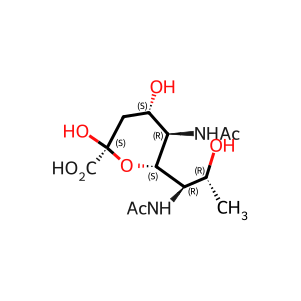 CC(=O)N[C@@H]([C@@H]1O[C@](O)(C(=O)O)C[C@H](O)[C@H]1NC(C)=O)[C@@H](C)O